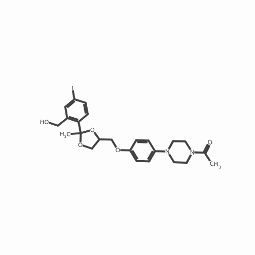 CC(=O)N1CCN(c2ccc(OCC3COC(C)(c4ccc(I)cc4CO)O3)cc2)CC1